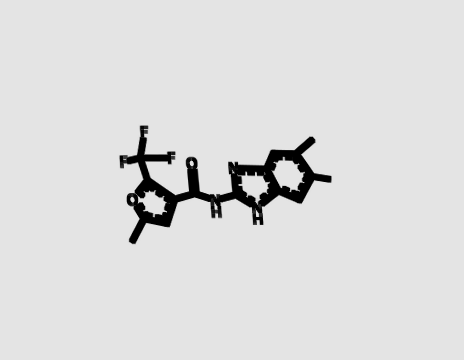 Cc1cc(C(=O)Nc2nc3cc(C)c(C)cc3[nH]2)c(C(F)(F)F)o1